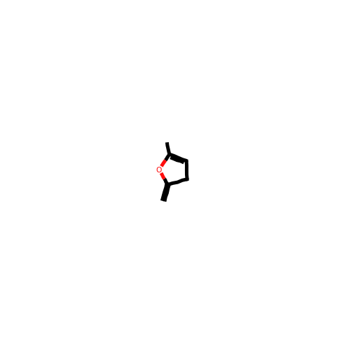 C=C1CC=C(C)O1